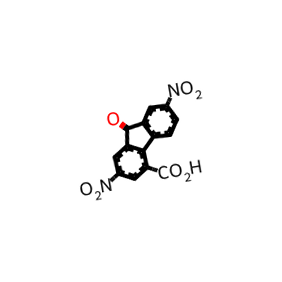 O=C(O)c1cc([N+](=O)[O-])cc2c1-c1ccc([N+](=O)[O-])cc1C2=O